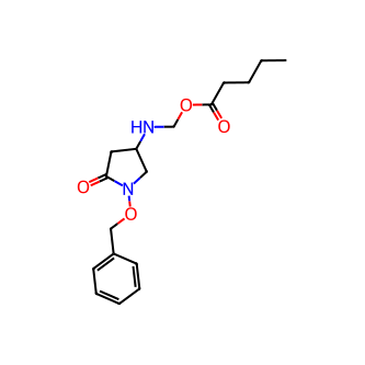 CCCCC(=O)OCNC1CC(=O)N(OCc2ccccc2)C1